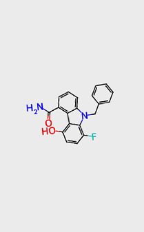 NC(=O)c1cccc2c1c1c(O)ccc(F)c1n2Cc1ccccc1